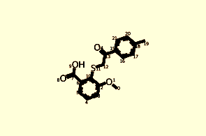 COc1cccc(C(=O)O)c1SCC(=O)c1ccc(C)cc1